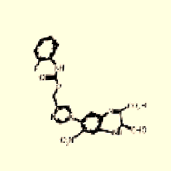 O=CC1Nc2cc([N+](=O)[O-])c(-n3cnc(COC(=O)Nc4ccccc4F)c3)cc2N=C1C(=O)O